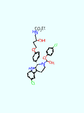 CCOC(=O)NCC(O)CCOc1ccc([C@H]2c3[nH]c4ccc(Cl)cc4c3CCN2C(O)Oc2ccc(Cl)cc2)cc1